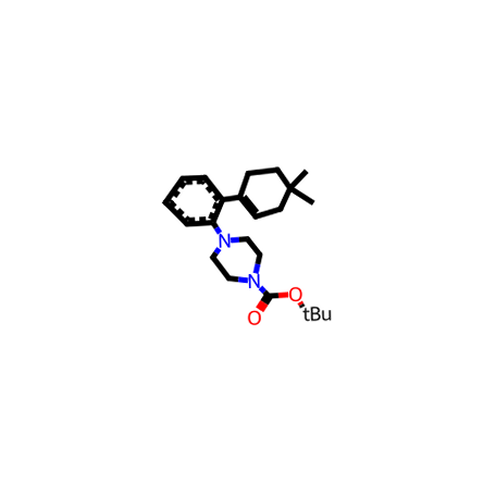 CC1(C)CC=C(c2ccccc2N2CCN(C(=O)OC(C)(C)C)CC2)CC1